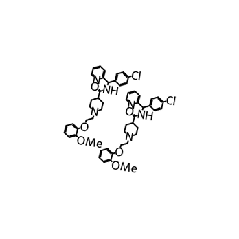 COc1ccccc1OCCN1CCC(C(=O)NC(c2ccc(Cl)cc2)c2ccccn2)CC1.COc1ccccc1OCCN1CCC(C(=O)NC(c2ccc(Cl)cc2)c2ccccn2)CC1